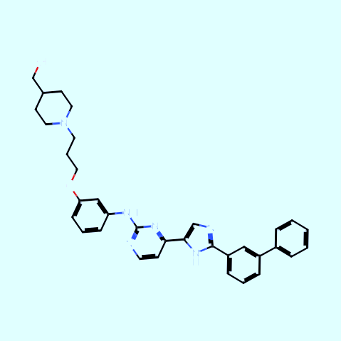 OCC1CCN(CCCOc2cccc(Nc3nccc(-c4cnc(-c5cccc(-c6ccccc6)c5)[nH]4)n3)c2)CC1